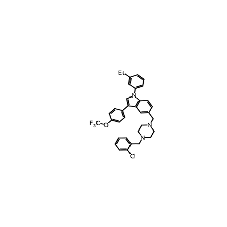 CCc1cccc(-n2cc(-c3ccc(OC(F)(F)F)cc3)c3cc(CN4CCN(Cc5ccccc5Cl)CC4)ccc32)c1